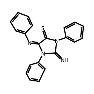 N=C1N(c2ccccc2)C(=S)C(=Nc2ccccc2)N1c1ccccc1